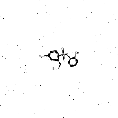 CCc1cc(C)ccc1S(=O)(=O)Oc1ccccc1Br